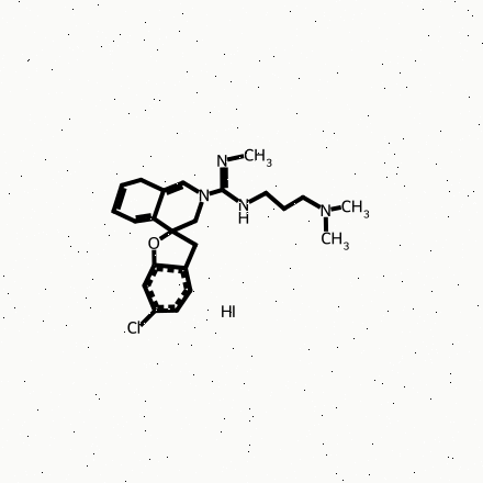 CN=C(NCCCN(C)C)N1C=C2CC=CC=C2C2(Cc3ccc(Cl)cc3O2)C1.I